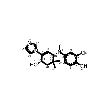 CN(c1ccc(C#N)c(Cl)c1)[C@H]1C=C(n2ccnc2)[C@H](O)CC1(C)C